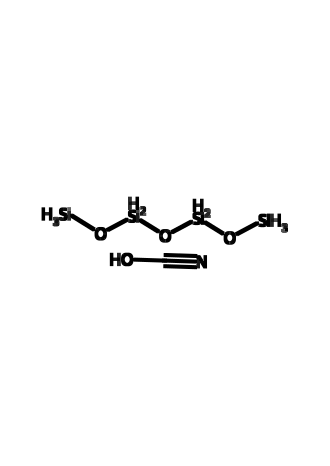 N#CO.[SiH3]O[SiH2]O[SiH2]O[SiH3]